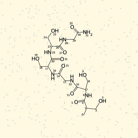 CC(CO)C(=O)NC(CO)C(=O)NCC(=O)NC(CO)C(=O)NC(CO)C(=O)NCC(N)=O